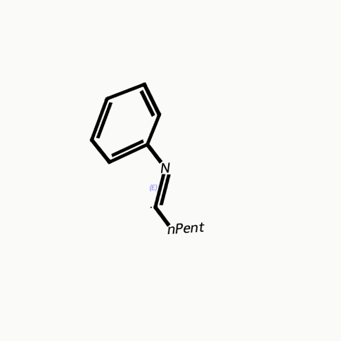 CCCCC/[C]=N/c1ccccc1